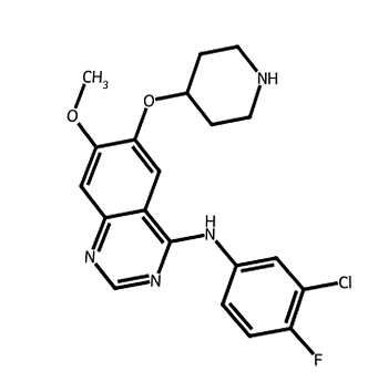 COc1cc2ncnc(Nc3ccc(F)c(Cl)c3)c2cc1OC1CCNCC1